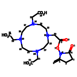 C=C1CCC(=O)N1OC(=O)CN1CCN(CC(=O)O)CCN(CC(=O)O)CCN(CC(=O)O)CC1